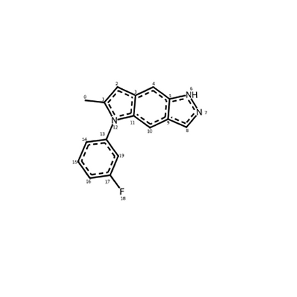 Cc1cc2cc3[nH]ncc3cc2n1-c1cccc(F)c1